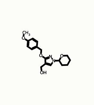 COc1ccc(COc2nn(C3CCCCO3)cc2CO)cc1